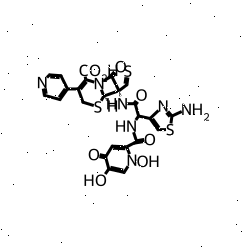 Nc1nc(C(NC(=O)c2cc(=O)c(O)cn2O)C(=O)N[C@@]2(C=S)C(=O)N3C(C(=O)O)=C(c4ccncc4)CS[C@@H]32)cs1